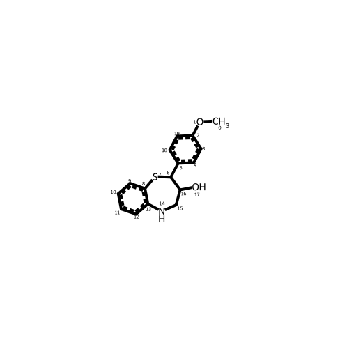 COc1ccc(C2Sc3ccccc3NCC2O)cc1